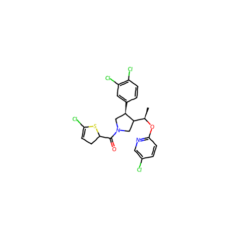 C[C@@H](Oc1ccc(Cl)cn1)C1CN(C(=O)C2CC=C(Cl)S2)C[C@H]1c1ccc(Cl)c(Cl)c1